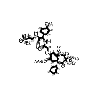 CCCCC1(CCCC)C(=O)Nc2cc(OCC(=O)N[C@@H](C(=O)NCCP(C)(=O)CC)c3ccc(O)cc3)c(SC)cc2N(c2ccccc2)C1=O